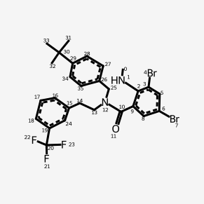 CNc1c(Br)cc(Br)cc1C(=O)N(CCc1cccc(C(F)(F)F)c1)Cc1ccc(C(C)(C)C)cc1